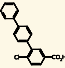 O=C(O)c1ccc(Cl)c(-c2ccc(-c3cccnc3)cc2)c1